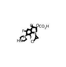 O=C(O)Oc1cn(C2CC2Cl)c2c(F)c(N3CCNCC3)c(F)cc2c1=O